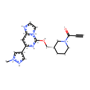 C#CC(=O)N1CCC[C@H](COc2nc(-c3cnn(C)c3)cc3nccn23)C1